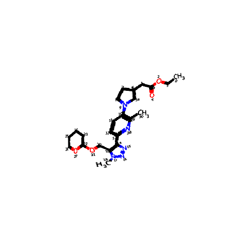 CCOC(=O)CC1CCN(c2ccc(-c3nnn(C)c3COC3CCCCO3)nc2C)C1